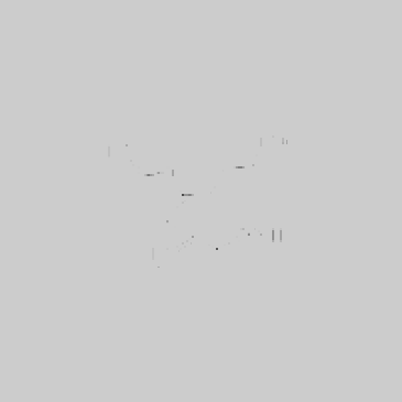 C=CCC(=O)O.C=COC(=O)CCCCCCCCCCC